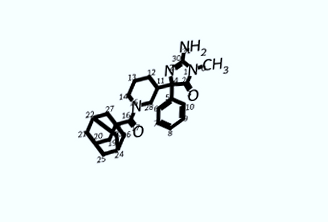 CN1C(=O)C(c2ccccc2)(C2CCCN(C(=O)C34CC5CC(CC(C5)C3)C4)C2)N=C1N